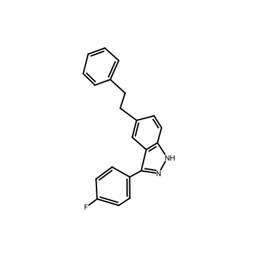 Fc1ccc(-c2n[nH]c3ccc(CCc4ccccc4)cc23)cc1